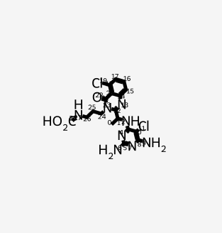 CC(Nc1nc(N)nc(N)c1Cl)c1nc2cccc(Cl)c2c(=O)n1CCCNC(=O)O